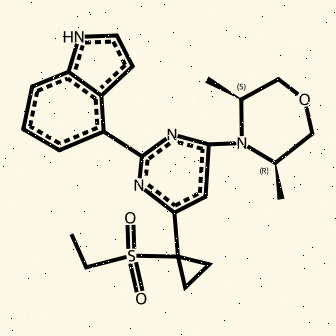 CCS(=O)(=O)C1(c2cc(N3[C@H](C)COC[C@@H]3C)nc(-c3cccc4[nH]ccc34)n2)CC1